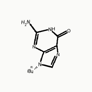 CC[C@@H](C)n1cnc2c(=O)[nH]c(N)nc21